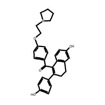 O=C(C1=C(c2ccc(O)cc2)CCc2cc(O)ccc21)c1ccc(OCCN2CCCC2)cc1